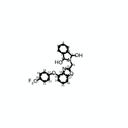 OC1c2ccccc2C(O)N1Cc1nc2c(Oc3ccc(C(F)(F)F)cc3)cccc2o1